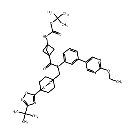 CCOc1ncc(-c2cccc(N(CC34CCC(c5nc(C(C)(C)C)no5)(CC3)CC4)C(=O)C34CC(NC(=O)OC(C)(C)C)(C3)C4)c2)cn1